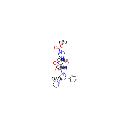 CCCCOC(=O)N1CCN(C(=O)[C@@H](NC(=O)c2cc(N3CCC[C@@H]3OC)cc(-c3ccccc3)n2)P(=O)(OC)OC)CC1